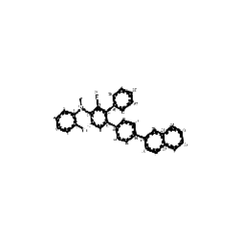 CN(c1ccccc1F)c1ccc(-c2ccc(-c3ccc4ccccc4c3)cc2)c(-c2ccccc2)c1F